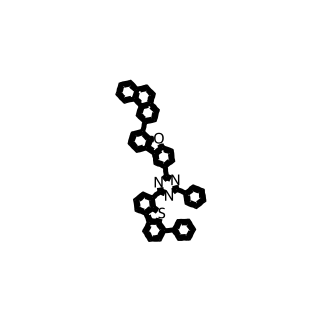 c1ccc(-c2nc(-c3ccc4oc5c(-c6ccc7ccc8ccccc8c7c6)cccc5c4c3)nc(-c3cccc4c3sc3c(-c5ccccc5)cccc34)n2)cc1